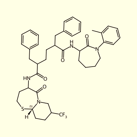 Cc1ccccc1N1CCCCC(NC(=O)C(CCC(Cc2ccccc2)C(=O)NC2CCS[C@H]3CCC(C(F)(F)F)CN3C2=O)Cc2ccccc2)C1=O